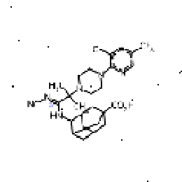 CC(C)(/C(=N/C#N)NC1C2CC3CC1CC(C(=O)O)(C3)C2)N1CCN(c2ncc(C(F)(F)F)cc2Cl)CC1